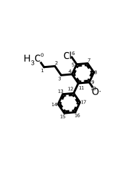 CCCCc1c(Cl)ccc([O])c1-c1ccccc1